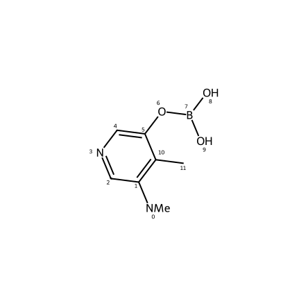 CNc1cncc(OB(O)O)c1C